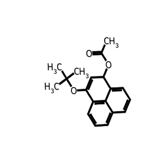 CC(=O)OC1C=C(OC(C)(C)C)c2cccc3cccc1c23